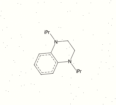 CC(C)N1CCN(C(C)C)c2ccccc21